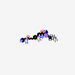 CCn1c(N)c(-c2nccn2OCC[Si](C)(C)C)c(=O)c2ccc(-c3ccc(CCCC(=O)NCc4ccncc4)cc3)nc21